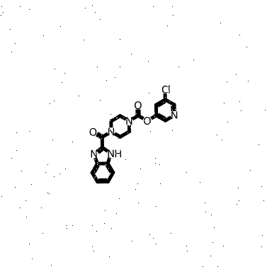 O=C(Oc1cncc(Cl)c1)N1CCN(C(=O)c2nc3ccccc3[nH]2)CC1